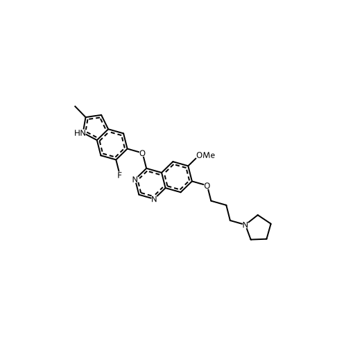 COc1cc2c(Oc3cc4cc(C)[nH]c4cc3F)ncnc2cc1OCCCN1CCCC1